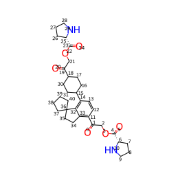 O=C(COC(=O)[C@@H]1CCCN1)c1ccc(C2CCC(C(=O)COC(=O)[C@@H]3CCCN3)CC2)c2c1CCC21CCCC1